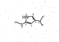 CSc1cc(C(C)C)c[nH]1